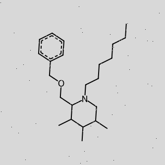 CCCCCCCN1CC(C)C(C)C(C)C1COCc1ccccc1